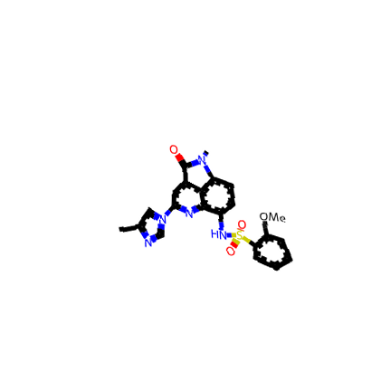 COc1ccccc1S(=O)(=O)Nc1ccc2c3c(cc(-n4cnc(C)c4)nc13)C(=O)N2C